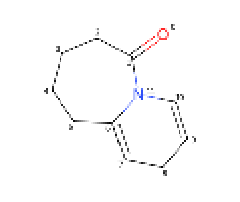 O=C1CCCCC2=CCC=CN12